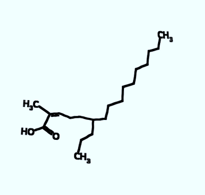 CCCCCCCCCCC(CCC)CCC=C(C)C(=O)O